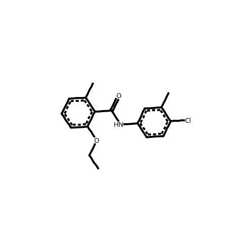 CCOc1cccc(C)c1C(=O)Nc1ccc(Cl)c(C)c1